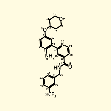 Nc1ccc(OC2CCOCC2)cc1-c1cc(C(=O)NCc2cccc(C(F)(F)F)c2)ccn1